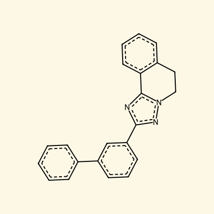 c1ccc(-c2cccc(-c3nc4n(n3)CCc3ccccc3-4)c2)cc1